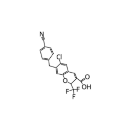 N#Cc1ccc(Cc2cc3c(cc2Cl)C=C(C(=O)O)C(C(F)(F)F)O3)cc1